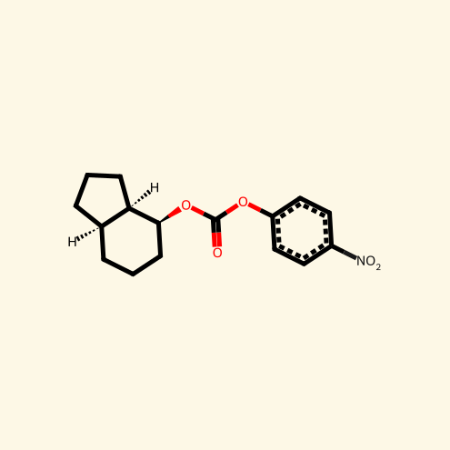 O=C(Oc1ccc([N+](=O)[O-])cc1)O[C@H]1CCC[C@H]2CCC[C@H]21